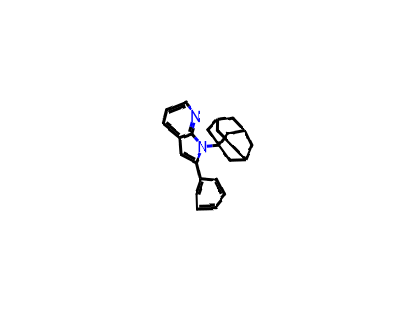 c1ccc(-c2cc3cccnc3n2C23CC4CC(CC(C4)C2)C3)cc1